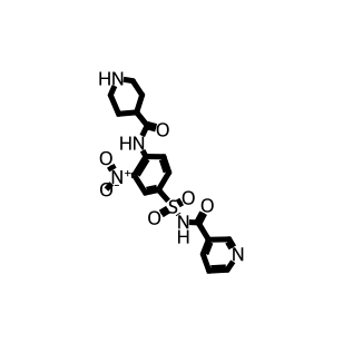 O=C(NS(=O)(=O)c1ccc(NC(=O)C2CCNCC2)c([N+](=O)[O-])c1)c1cccnc1